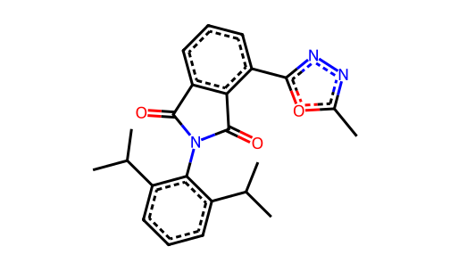 Cc1nnc(-c2cccc3c2C(=O)N(c2c(C(C)C)cccc2C(C)C)C3=O)o1